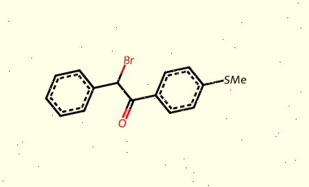 CSc1ccc(C(=O)C(Br)c2ccccc2)cc1